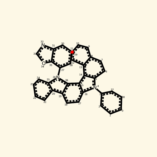 c1ccc(-n2c3ccc4ccccc4c3c3c2ccc2c4ccccc4n(-c4cccc5ncoc45)c23)cc1